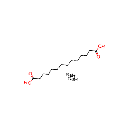 O=C(O)CCCCCCCCCCCCC(=O)O.[NaH].[NaH]